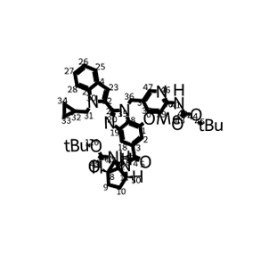 COc1cc(C(=O)N2C[C@H]3CC[C@@H]2[C@@H]3NC(=O)OC(C)(C)C)cc2nc(-c3cc4ccccc4n3CC3CC3)n(Cc3ccc(NC(=O)OC(C)(C)C)nc3)c12